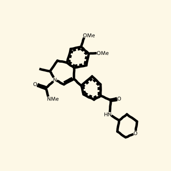 CNC(=O)N1C=C(c2ccc(C(=O)NC3CCOCC3)cc2)c2cc(OC)c(OC)cc2CC1C